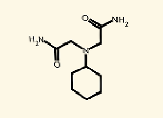 NC(=O)CN(CC(N)=O)C1CCCCC1